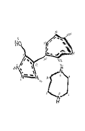 C1CNCCN1.Oc1[nH]nnc1-c1ccccc1